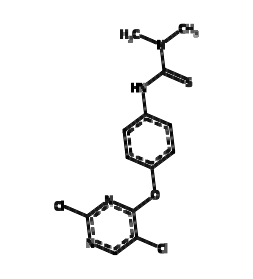 CN(C)C(=S)Nc1ccc(Oc2nc(Cl)ncc2Cl)cc1